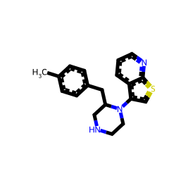 Cc1ccc(CC2CNCCN2c2csc3ncccc23)cc1